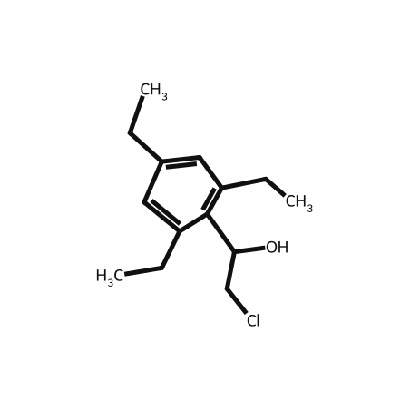 CCc1cc(CC)c(C(O)CCl)c(CC)c1